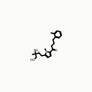 Cc1ccccc1CCCC(=O)c1ccc(CCC(C)(N)CO)n1C